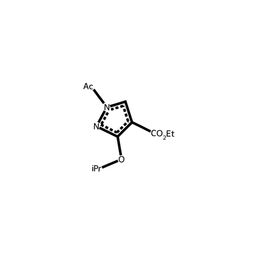 CCOC(=O)c1cn(C(C)=O)nc1OC(C)C